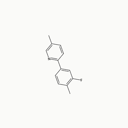 Cc1ccc(-c2ccc(C)c(F)c2)nc1